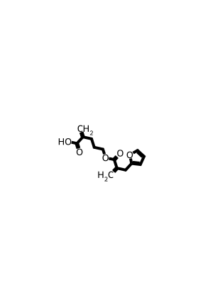 C=C(CCCOC(=O)C(=C)Cc1ccco1)C(=O)O